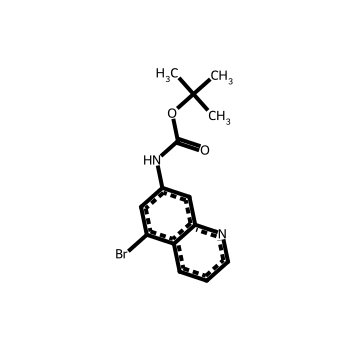 CC(C)(C)OC(=O)Nc1cc(Br)c2cccnc2c1